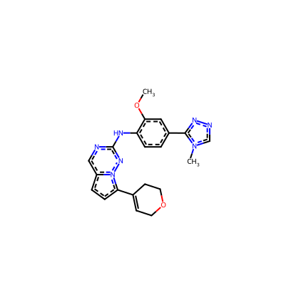 COc1cc(-c2nncn2C)ccc1Nc1ncc2ccc(C3=CCOCC3)n2n1